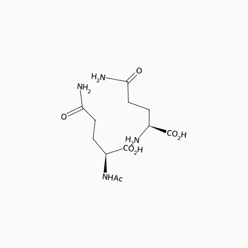 CC(=O)N[C@@H](CCC(N)=O)C(=O)O.NC(=O)CC[C@H](N)C(=O)O